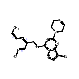 C\C=C/C=C(\C=N\O)CNc1nc(N2CC=NCC2)nc2c(CC)cnn12